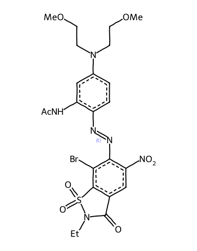 CCN1C(=O)c2cc([N+](=O)[O-])c(/N=N/c3ccc(N(CCOC)CCOC)cc3NC(C)=O)c(Br)c2S1(=O)=O